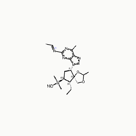 C/C=N/c1nc(C)c2ncn([C@H]3C[C@H]([Si](C)(C)O)[C@@H](CC)[C@@]34COC(C)O4)c2n1